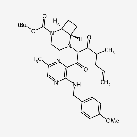 C=CCC(C)C(=O)C(C(=O)c1nc(C)cnc1NCc1ccc(OC)cc1)N1CCN(C(=O)OC(C)(C)C)[C@H]2CC[C@@H]21